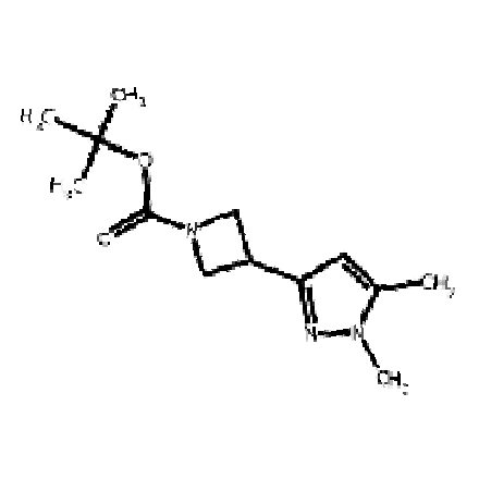 Cc1cc(C2CN(C(=O)OC(C)(C)C)C2)nn1C